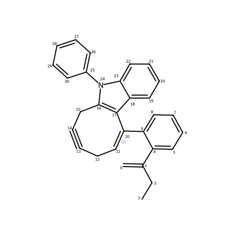 C=C(CC)c1ccccc1/C1=C/CC#CCc2c1c1ccccc1n2-c1ccccc1